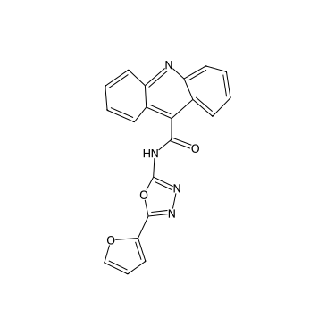 O=C(Nc1nnc(-c2ccco2)o1)c1c2ccccc2nc2ccccc12